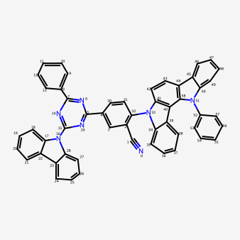 N#Cc1cc(-c2nc(-c3ccccc3)nc(-n3c4ccccc4c4ccccc43)n2)ccc1-n1c2ccccc2c2c1ccc1c3ccccc3n(-c3ccccc3)c12